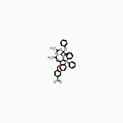 CC(=O)O[C@@]1(Oc2ccccc2)C(=O)N(C(C(=O)OCc2ccc([N+](=O)[O-])cc2)=P(c2ccccc2)(c2ccccc2)c2ccccc2)[C@@H]1SC(C)=O